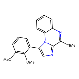 CNc1nc2ccccc2n2c(-c3cccc(OC)c3OC)cnc12